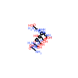 N=C(N)NCCCC(N)C(=O)O.NC(=O)CCC(N)C(=O)O.NC(Cc1c[nH]c2ccccc12)C(=O)O.NC(Cc1ccc(O)cc1)C(=O)O.NC(Cc1ccccc1)C(=O)O.NCCCCC(N)C(=O)O